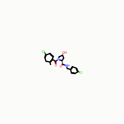 CC1=C(C(=O)N2C[C@H](O)C[C@H]2C(=O)NCc2ccc(Cl)cc2)C=CC(Cl)=CC1